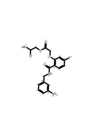 CCCCC(CC)COC(=O)COc1cc(F)ccc1C(=O)NCc1cccc([N+](=O)[O-])c1